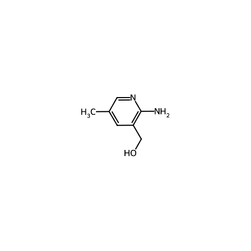 Cc1cnc(N)c(CO)c1